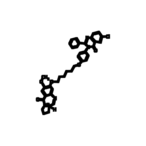 COc1cc2c(cc1OCCCCCCOc1ccc(-n3c(-c4ccccc4)nc4ccc(Cl)cc4c3=O)cc1)N=C[C@@H]1CCCN1C2=O